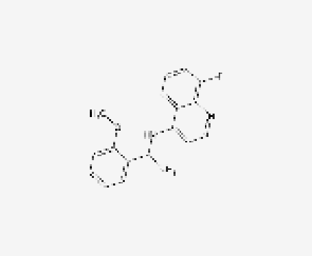 COc1ccccc1C(C)Nc1ccnc2c(F)cccc12